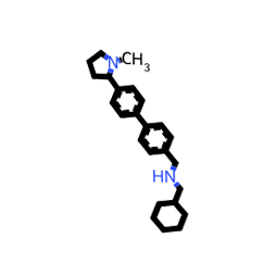 CN1CCCC1c1ccc(-c2ccc(CNCC3CCCCC3)cc2)cc1